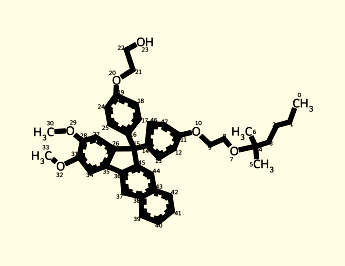 CCCCC(C)(C)OCCOc1ccc(C2(c3ccc(OCCO)cc3)c3cc(OC)c(OC)cc3-c3cc4ccccc4cc32)cc1